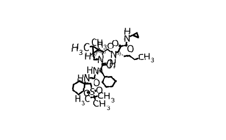 CCCC[C@H](NC(=O)[C@@H]1[C@@H]2[C@H](CN1C(=O)[C@@H](NC(=O)NC1(CS(=O)(=O)C(C)(C)C)CCCCC1)C1CCCCC1)C2(C)C)C(=O)C(=O)NC1CC1